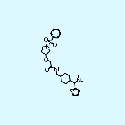 CN(C)C(c1cccs1)C1CCC(CNC(=O)COC2CCN(S(=O)(=O)c3ccccc3)C2)CC1